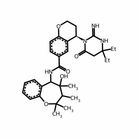 CCC1(CC)CC(=O)N([C@@H]2CCOc3ccc(C(=O)NC4c5ccccc5OC(C)(C)C(C)C4(C)O)cc32)C(=N)N1